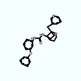 O=C(Nc1cccc(Oc2ccccc2)c1)NC1C2CCN(CC2)C1Cc1cccnc1